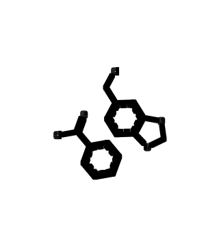 ClCc1ccc2c(c1)OCO2.O=C(Cl)c1ccccc1